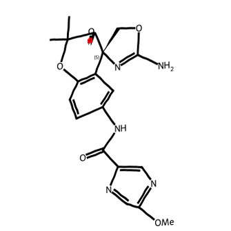 COc1cnc(C(=O)Nc2ccc3c(c2)[C@]2(COC(N)=N2)C2(COC2)C(C)(C)O3)cn1